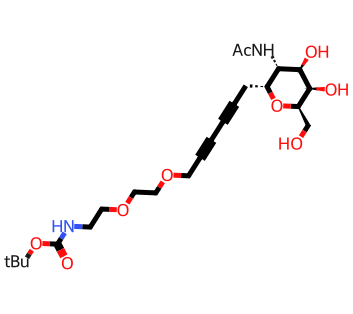 CC(=O)N[C@@H]1[C@@H](O)[C@@H](O)[C@@H](CO)O[C@@H]1CC#CC#CCOCCOCCNC(=O)OC(C)(C)C